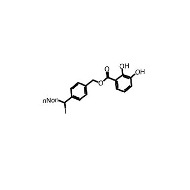 CCCCCCCCCC(I)c1ccc(COC(=O)c2cccc(O)c2O)cc1